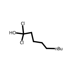 CCCCCCCCC(O)(Cl)Cl